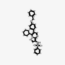 O=S(=O)(Nc1cnn2c(C3CCCCC3)c(-c3ccc(OCc4ccccc4)cc3)cnc12)c1ccccc1